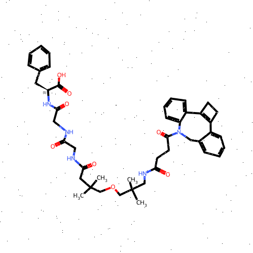 CC(C)(CNC(=O)CCC(=O)N1Cc2ccccc2C2=C(CC2)c2ccccc21)COCC(C)(C)CC(=O)NCC(=O)NCC(=O)N[C@@H](Cc1ccccc1)C(=O)O